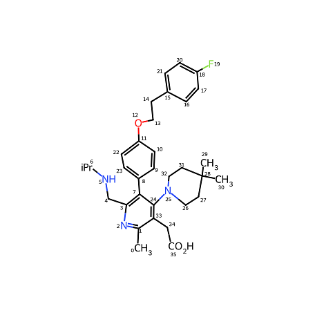 Cc1nc(CNC(C)C)c(-c2ccc(OCCc3ccc(F)cc3)cc2)c(N2CCC(C)(C)CC2)c1CC(=O)O